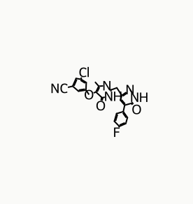 Cc1nc(Cc2cc(-c3ccc(F)cc3)c(=O)[nH]n2)[nH]c(=O)c1Oc1cc(Cl)cc(C#N)c1